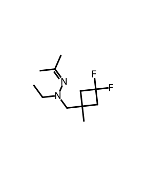 CCN(CC1(C)CC(F)(F)C1)N=C(C)C